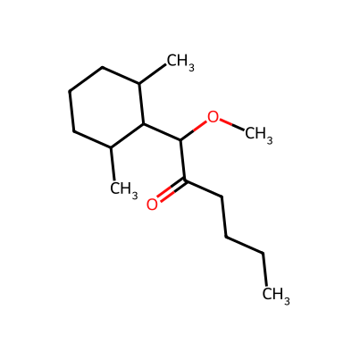 CCCCC(=O)C(OC)C1C(C)CCCC1C